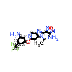 CCn1c(-c2nonc2N)nc2cnc(Oc3cc(N)cc(C(F)(F)F)c3)cc21